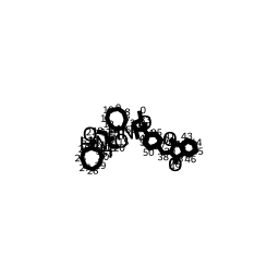 CCCC(C)(N[C@H]1CCCCCC[C@H]1C(=O)C(CC)(CC)N1C(=O)[C@@H]2CCCCCC[C@@H]21)C(=O)c1ccc(CC2C(=O)c3ccccc3C2=O)cc1